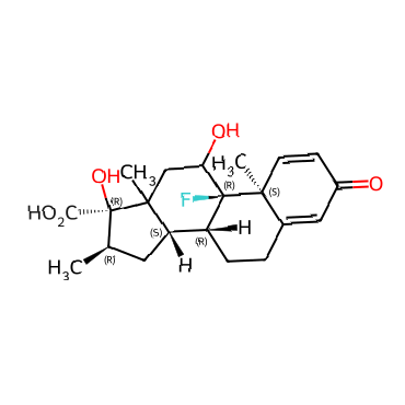 C[C@@H]1C[C@H]2[C@H]3CCC4=CC(=O)C=C[C@]4(C)[C@@]3(F)C(O)CC2(C)[C@@]1(O)C(=O)O